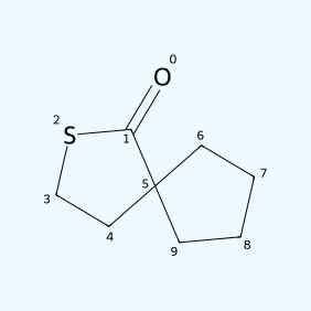 O=C1SCCC12CCCC2